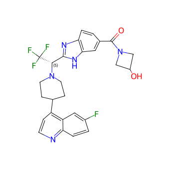 O=C(c1ccc2nc([C@H](N3CCC(c4ccnc5ccc(F)cc45)CC3)C(F)(F)F)[nH]c2c1)N1CC(O)C1